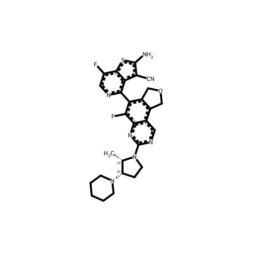 C[C@H]1[C@@H](N2CCCCC2)CCN1c1ncc2c3c(c(-c4ncc(F)c5sc(N)c(C#N)c45)c(F)c2n1)COC3